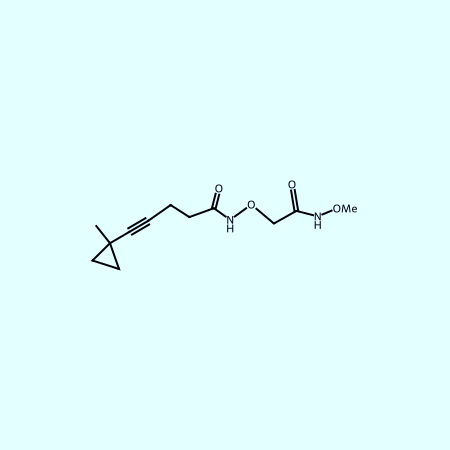 CONC(=O)CONC(=O)CCC#CC1(C)CC1